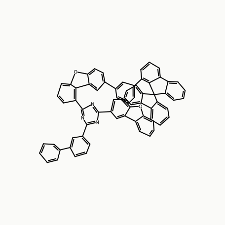 c1ccc(-c2cccc(-c3nc(-c4ccc5oc6ccccc6c5c4)nc(-c4cccc5oc6ccc(-c7cccc(-c8cccc9c8C8(c%10ccccc%10-c%10ccccc%108)c8ccccc8-9)c7)cc6c45)n3)c2)cc1